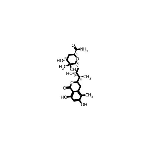 Cc1c(O)cc(O)c2c1CC([C@H](C)[C@@H](O)C[C@H]1O[C@H](C(N)=O)C[C@@H](O)C1(C)C)OC2=O